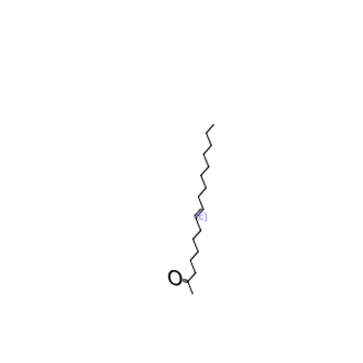 CCCCCCCC/C=C/CCCCCC(C)=O